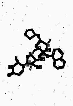 C[C@H](N[P@](=O)(OC[C@H]1O[C@@H](n2ccc(=O)[nH]c2=S)[C@](C)(O)C1O)Oc1cccc2ccccc12)C(=O)OC1CCCC1